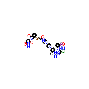 COc1cc(N2CCC(N3CCN(C(=O)CCSc4cccc5c4CN(C4CCC(=O)NC4=O)C5=O)CC3)CC2)ccc1Nc1ncc(Cl)c(Nc2ccccc2P(C)(C)=O)n1